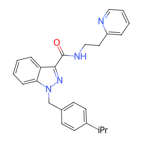 CC(C)c1ccc(Cn2nc(C(=O)NCCc3ccccn3)c3ccccc32)cc1